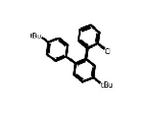 CC(C)(C)c1ccc(-c2ccc(C(C)(C)C)cc2-c2ccccc2Cl)cc1